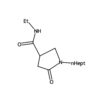 CCCCCCCN1CC(C(=O)NCC)CC1=O